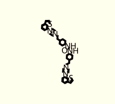 O=C(NC1CCC(CCN2CCN(c3cccc4ccsc34)CC2)CC1)NC1CCC(CCN2CCN(c3cccc4ccsc34)CC2)CC1